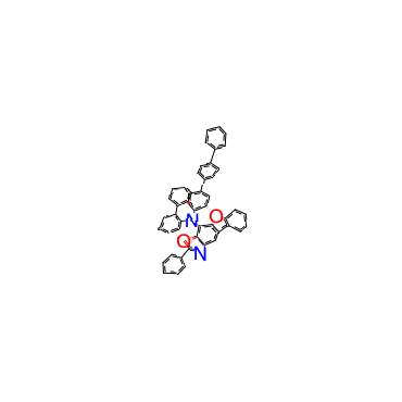 c1ccc(-c2ccc(-c3ccc(N(c4ccccc4-c4ccccc4)c4c5oc(-c6ccccc6)nc5cc5c4oc4ccccc45)cc3)cc2)cc1